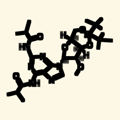 CO[C@@H]1[C@@H]2O[Si](C(C)(C)C)(C(C)(C)C)OC[C@H]2O[C@H]1n1cnc2c(NC(=O)C(C)C)nc(NC(=O)C(C)C)nc21